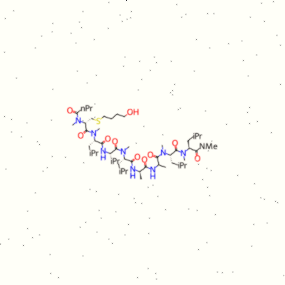 CCCC(=O)N(C)[C@H](CSCCCCO)C(=O)N(C)[C@@H](CC(C)C)C(=O)N[C@H](C(=O)N(C)[C@@H](CC(C)C)C(=O)N[C@H](C)C(=O)NC(C)C(=O)N(C)[C@@H](CC(C)C)C(=O)N(C)[C@@H](CC(C)C)C(=O)NC)C(C)C